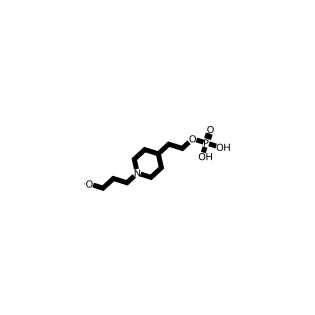 [O]CCCN1CCC(CCOP(=O)(O)O)CC1